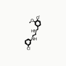 COc1ccc(CNCCNc2cccc(Cl)c2)cc1OC